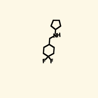 FC1(F)CCC(CNC2CCCC2)CC1